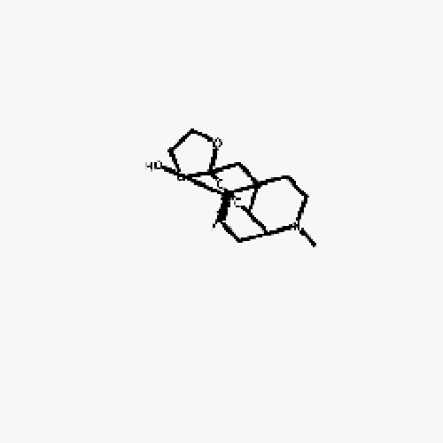 CN1CCC23CC4(CCC2C1Cc1ccc(O)cc13)OCCO4